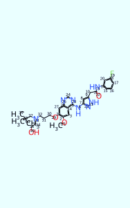 COc1cc2c(Nc3cc(CC(=O)Nc4cccc(F)c4)[nH]n3)ncnc2cc1OCCCN(CCO)CC(C)(C)C